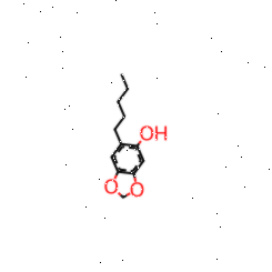 CCCCCc1cc2c(cc1O)OCO2